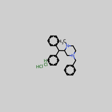 CN1CCN(Cc2ccccc2)CC1C(c1ccccc1)c1ccccc1.Cl.Cl